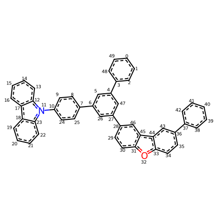 c1ccc(-c2cc(-c3ccc(-n4c5ccccc5c5ccccc54)cc3)cc(-c3ccc4oc5ccc(-c6ccccc6)cc5c4c3)c2)cc1